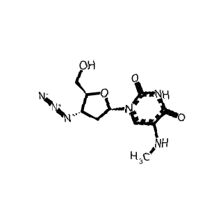 CNc1cn([C@H]2C[C@H](N=[N+]=[N-])[C@@H](CO)O2)c(=O)[nH]c1=O